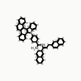 NC(N/C(=C\Cc1ccc2ccccc2c1)C1C=c2ccccc2=CC1)C1C=CC(n2c3ccccc3c3c4c5ccccc5ccc4c4ccccc4c32)=CC1